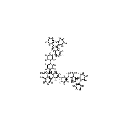 c1ccc(-c2nc3c(-c4cccc(-c5ccc(N(c6ccc(-c7cccc(-c8cccc9c8nc(-c8ccccc8)n9-c8ccccc8)c7)cc6)c6cccc7ccccc67)cc5)c4)cccc3n2-c2ccccc2)cc1